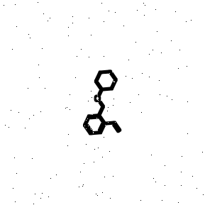 C=Cc1ccccc1COC1CCCCC1